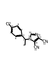 CC(c1ccc(Cl)cc1)n1cnc(C#N)c1C#N